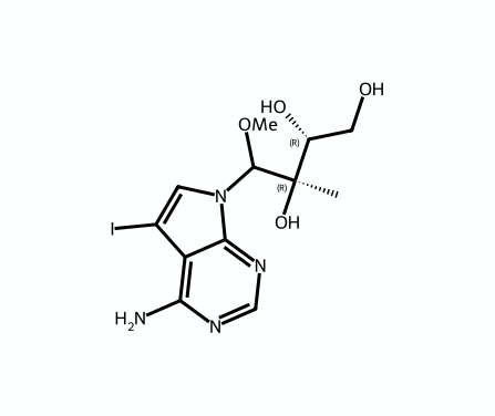 COC(n1cc(I)c2c(N)ncnc21)[C@](C)(O)[C@H](O)CO